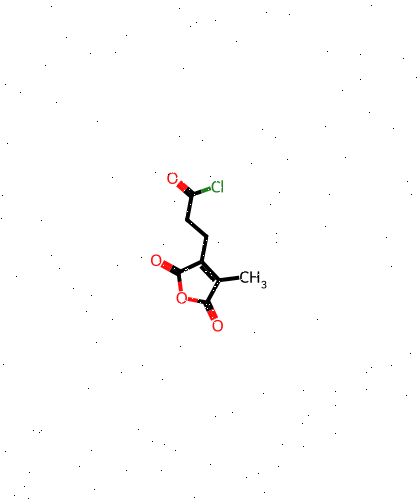 CC1=C(CCC(=O)Cl)C(=O)OC1=O